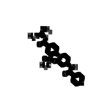 CS(=O)(=O)c1cc(C(=O)N=C(N)N)ccc1N1CCC(NC(=O)c2ccncc2)CC1